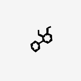 CC=c1cccc(-c2ccccc2)c1=CC